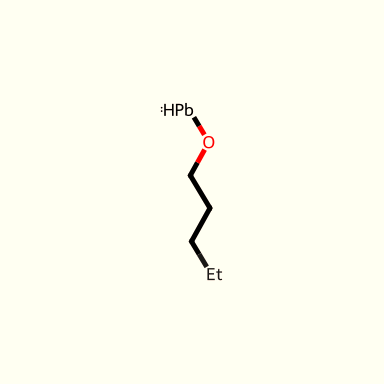 CCCCC[O][PbH]